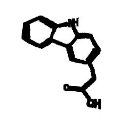 O=C(O)Cc1ccc2[nH]c3ccccc3c2c1